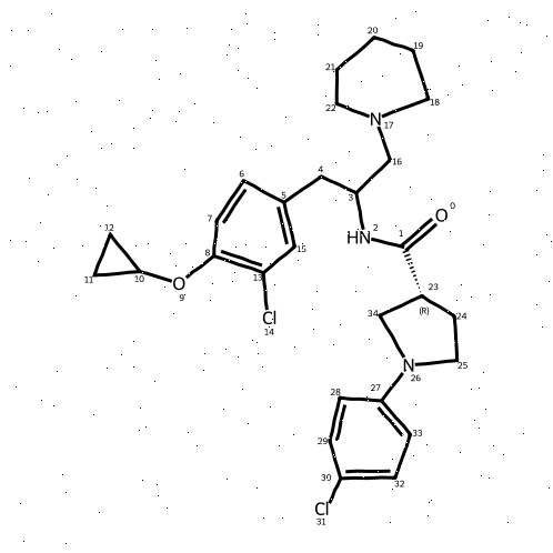 O=C(NC(Cc1ccc(OC2CC2)c(Cl)c1)CN1CCCCC1)[C@@H]1CCN(c2ccc(Cl)cc2)C1